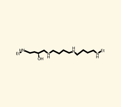 CCNCCCCNCCCCNC[C@@H](O)CCNCC